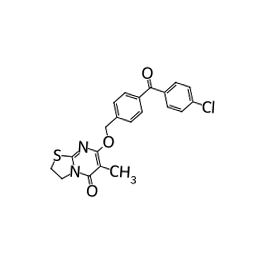 Cc1c(OCc2ccc(C(=O)c3ccc(Cl)cc3)cc2)nc2n(c1=O)CCS2